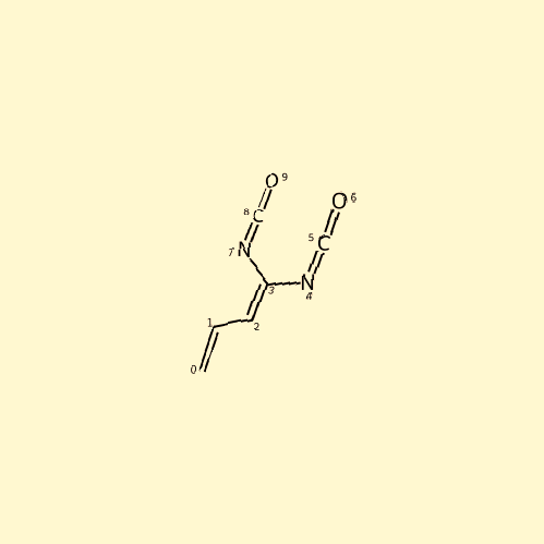 C=CC=C(N=C=O)N=C=O